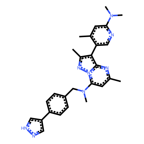 Cc1cc(N(C)Cc2ccc(-c3cn[nH]c3)cc2)n2nc(C)c(-c3cnc(N(C)C)cc3C)c2n1